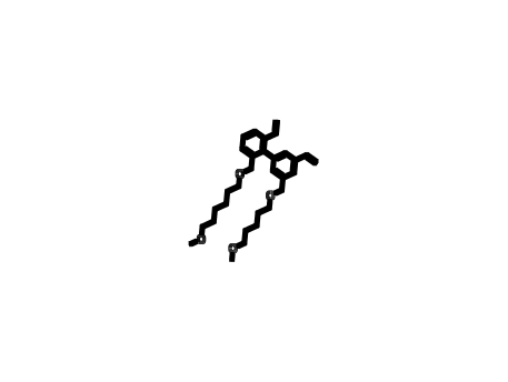 C=Cc1cc(COCCCCCOC)cc(-c2c(C=C)cccc2COCCCCCCOC)c1